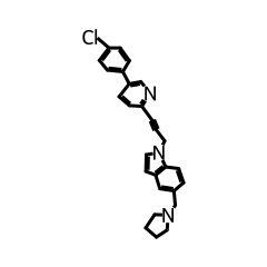 Clc1ccc(-c2ccc(C#CCn3ccc4cc(CN5CCCC5)ccc43)nc2)cc1